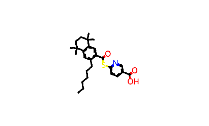 CCCCCCc1cc2c(cc1C(=O)Sc1ccc(C(=O)O)cn1)C(C)(C)CCC2(C)C